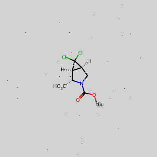 CC(C)(C)OC(=O)N1C[C@H]2[C@@H]([C@H]1C(=O)O)C2(Cl)Cl